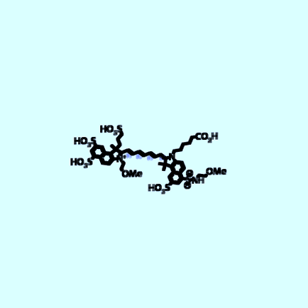 COCCNS(=O)(=O)c1cc(S(=O)(=O)O)cc2c3c(ccc12)N(CCCCCC(=O)O)/C(=C/C=C/C=C/C=C/C1=[N+](CCOC)c2ccc4c(S(=O)(=O)O)cc(S(=O)(=O)O)cc4c2C1(C)CCCS(=O)(=O)O)C3(C)C